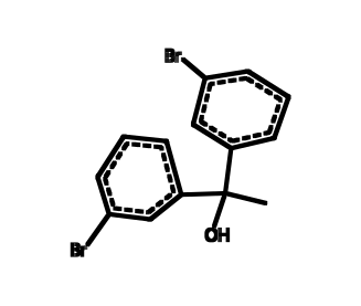 CC(O)(c1cccc(Br)c1)c1cccc(Br)c1